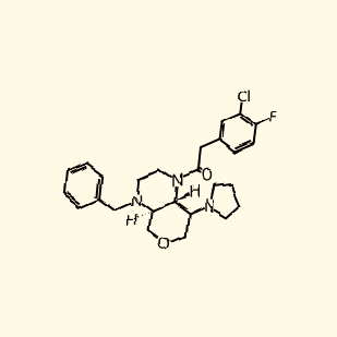 O=C(Cc1ccc(F)c(Cl)c1)N1CCN(Cc2ccccc2)[C@@H]2COCC(N3CCCC3)[C@H]21